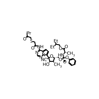 CCC(CC)COC(=O)[C@H](C)NP(=O)(OC[C@H]1O[C@@](C#N)(c2ccc3c(NC(=O)CSCC(=O)C(C)C)ncnn23)[C@H](O)[C@@H]1C)Oc1ccccc1